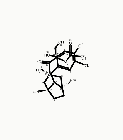 N[C@H](c1cc(Cl)c(Cl)cc1O)C1[C@@H]2CC[C@@H]1CN(C(=O)[C@@H](CO)OC(=O)C(F)(F)F)C2